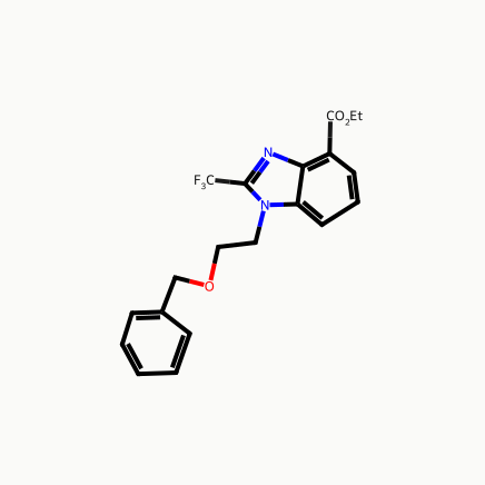 CCOC(=O)c1cccc2c1nc(C(F)(F)F)n2CCOCc1ccccc1